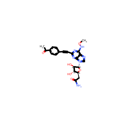 CONc1nc(C#Cc2ccc(C(C)=O)cc2)nc2c1ncn2[C@@H]1O[C@@H](CC(N)=O)[C@H](O)[C@H]1O